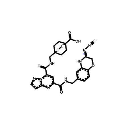 [C-]#[N+]/N=C1\COc2ccc(CNC(=O)c3cc(C(=O)NCC45CCC(C(=O)O)(CC4)CC5)n4nccc4n3)cc2N1